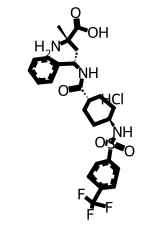 C[C@](N)(C[C@H](NC(=O)[C@H]1CC[C@H](NS(=O)(=O)c2ccc(C(F)(F)F)cc2)CC1)c1ccccc1)C(=O)O.Cl